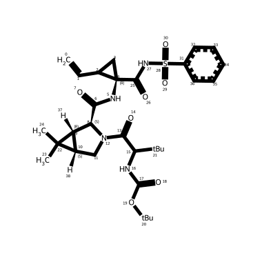 C=CC1C[C@]1(NC(=O)[C@@H]1[C@@H]2[C@H](CN1C(=O)C(NC(=O)OC(C)(C)C)C(C)(C)C)C2(C)C)C(=O)NS(=O)(=O)c1ccccc1